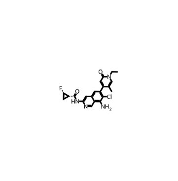 CCn1cc(C)c(-c2cc3cc(NC(=O)[C@@H]4C[C@@H]4F)ncc3c(N)c2Cl)cc1=O